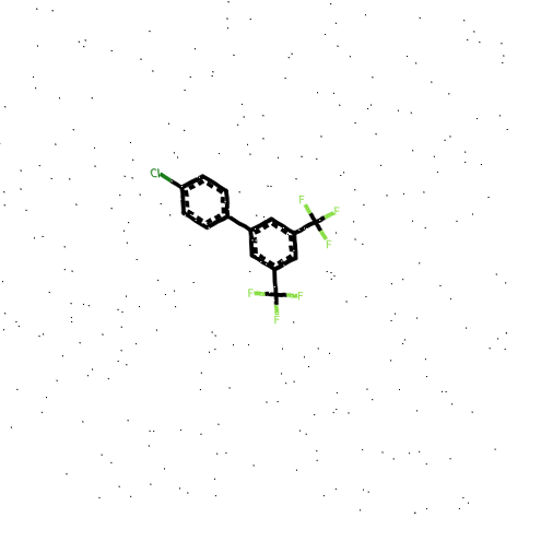 FC(F)(F)c1cc(-c2ccc(Cl)cc2)cc(C(F)(F)F)c1